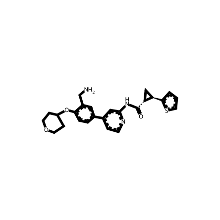 NCc1cc(-c2ccnc(NC(=O)[C@@H]3C[C@H]3c3cccs3)c2)ccc1OC1CCOCC1